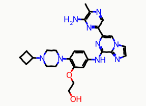 Cc1ncc(-c2cn3ccnc3c(Nc3ccc(N4CCN(C5CCC5)CC4)c(OCCO)c3)n2)nc1N